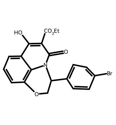 CCOC(=O)c1c(O)c2cccc3c2n(c1=O)C(c1ccc(Br)cc1)CO3